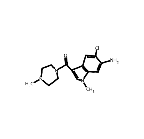 CN1CCN(C(=O)c2cn(C)c3cc(N)c(Cl)cc23)CC1